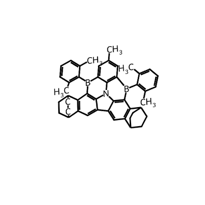 Cc1cc2c3c(c1)B(c1c(C)cccc1C)c1c4c(cc5c6cc7c(c(c6n-3c15)B2c1c(C)cccc1C)C1CCC7CC1)C1CCC4CC1